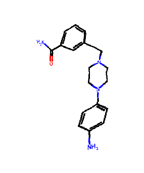 NC(=O)c1cccc(CN2CCN(c3ccc(N)cc3)CC2)c1